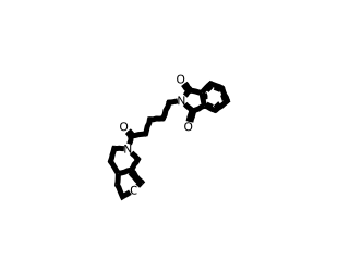 O=C(CCCCN1C(=O)c2ccccc2C1=O)N1CCC2CCCC=C2C1